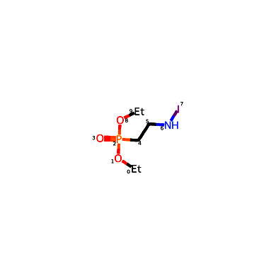 CCOP(=O)(CCNI)OCC